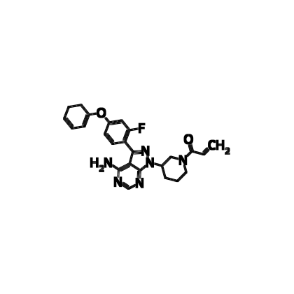 C=CC(=O)N1CCCC(n2nc(-c3ccc(OC4=CC=CCC4)cc3F)c3c(N)ncnc32)C1